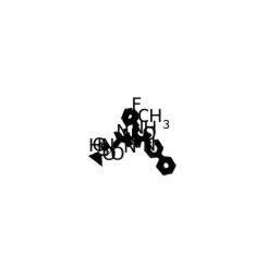 Cc1c(F)cccc1Nc1c(C(=O)N2CCC(c3ccccc3)CC2)cnc2c(C(=O)NS(=O)(=O)C3CC3)cnn12